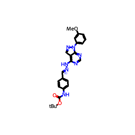 COc1cccc(-n2ncc3c(N/N=C/c4ccc(NC(=O)OC(C)(C)C)cc4)ncnc32)c1